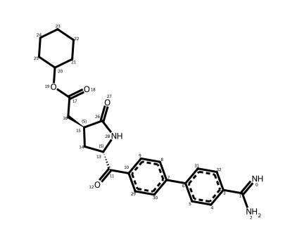 N=C(N)c1ccc(-c2ccc(C(=O)[C@@H]3C[C@@H](CC(=O)OC4CCCCC4)C(=O)N3)cc2)cc1